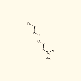 CC(=O)N(C)CCOCCCC(C)C